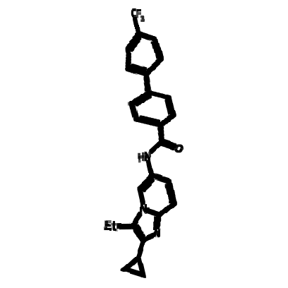 CCc1c(C2CC2)nc2ccc(NC(=O)c3ccc(-c4ccc(C(F)(F)F)cc4)cc3)cn12